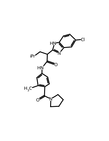 Cc1cc(NC(=O)C(CC(C)C)c2nc3cc(Cl)ccc3[nH]2)ccc1C(=O)N1CCCC1